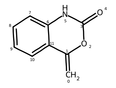 C=C1OC(=O)Nc2ccccc21